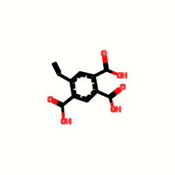 C=Cc1cc(C(=O)O)c(C(=O)O)cc1C(=O)O